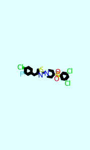 O=S(=O)(c1cc(Cl)cc(Cl)c1)C1CCN(c2nc(Cc3ccc(Cl)c(F)c3)cs2)CC1